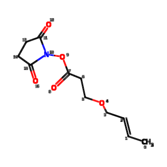 C/C=C/COCCC(=O)ON1C(=O)CCC1=O